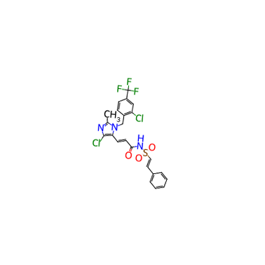 Cc1nc(Cl)c(C=CC(=O)NS(=O)(=O)C=Cc2ccccc2)n1Cc1ccc(C(F)(F)F)cc1Cl